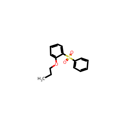 CCCOc1ccccc1S(=O)(=O)c1ccccc1